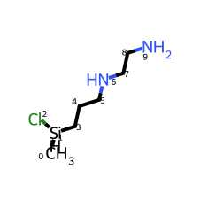 C[SiH](Cl)CCCNCCN